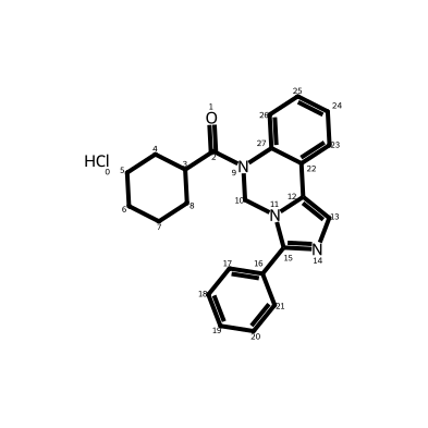 Cl.O=C(C1CCCCC1)N1Cn2c(cnc2-c2ccccc2)-c2ccccc21